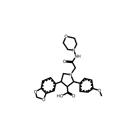 COc1ccc(C2C(C(=O)O)C(c3ccc4c(c3)OCO4)CN2CC(=O)NN2CCOCC2)cc1